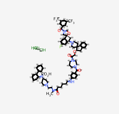 CN(CCN1CCC(N(C(=O)O)c2ccccc2-c2ccccc2)CC1)C(=O)CCCCCNc1ccc(C(=O)N2CCCN(C(=O)CO[C@H]3Cc4ccccc4C34CCN(CC[C@@]3(c5ccc(F)cc5)CN(C(=O)c5cc(C(F)(F)F)cc(C(F)(F)F)c5)CO3)CC4)CC2)cc1.Cl.Cl.Cl